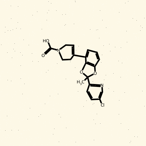 CC1(c2ccc(Cl)cn2)Oc2cccc(C3=CCN(C(=O)O)CC3)c2O1